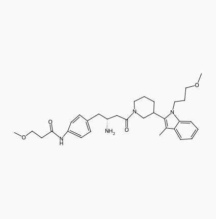 COCCCn1c(C2CCCN(C(=O)C[C@H](N)Cc3ccc(NC(=O)CCOC)cc3)C2)c(C)c2ccccc21